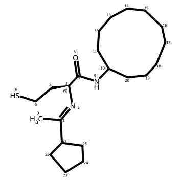 CC(=N[C@@H](CCS)C(=O)NC1CCCCCCCCCC1)C1CCCC1